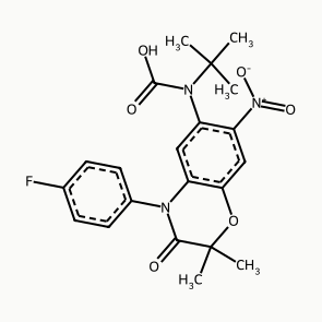 CC1(C)Oc2cc([N+](=O)[O-])c(N(C(=O)O)C(C)(C)C)cc2N(c2ccc(F)cc2)C1=O